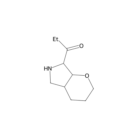 CCC(=O)C1NCC2CCCOC21